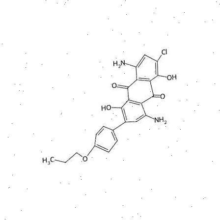 CCCOc1ccc(-c2cc(N)c3c(c2O)C(=O)c2c(N)cc(Cl)c(O)c2C3=O)cc1